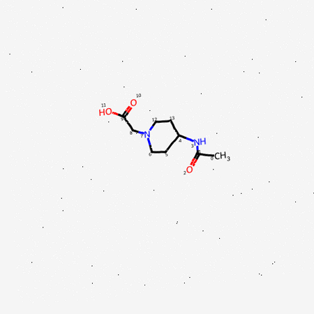 CC(=O)NC1CCN(CC(=O)O)CC1